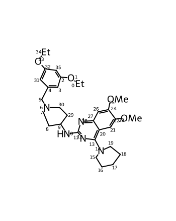 CCOc1cc(CN2CCC(Nc3nc(N4CCCCC4)c4cc(OC)c(OC)cc4n3)CC2)cc(OCC)c1